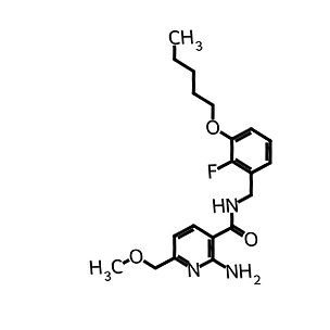 CCCCCOc1cccc(CNC(=O)c2ccc(COC)nc2N)c1F